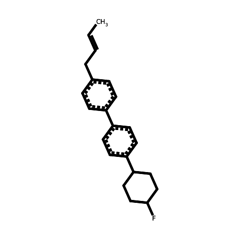 CC=CCc1ccc(-c2ccc(C3CCC(F)CC3)cc2)cc1